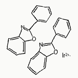 [Ir+2].c1ccc(-c2nc3ccccc3o2)cc1.c1ccc(-c2nc3ccccc3o2)cc1